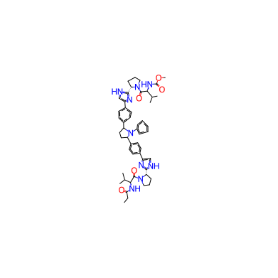 CCC(=O)N[C@H](C(=O)N1CCC[C@H]1c1nc(-c2ccc(C3CCC(c4ccc(-c5c[nH]c([C@@H]6CCCN6C(=O)[C@@H](NC(=O)OC)C(C)C)n5)cc4)N3c3ccccc3)cc2)c[nH]1)C(C)C